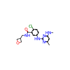 CNc1cc(C)nc(Nc2ccc(Cl)c(C(=O)NCC3COC3)c2)n1